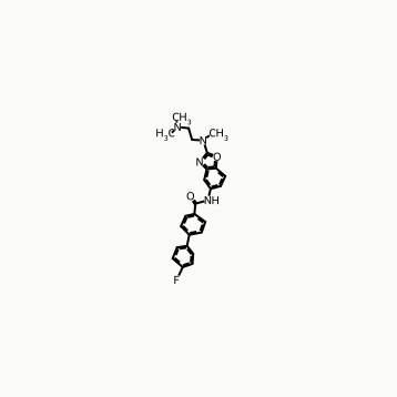 CN(C)CCN(C)c1nc2cc(NC(=O)c3ccc(-c4ccc(F)cc4)cc3)ccc2o1